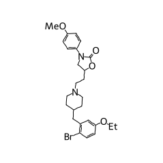 CCOc1ccc(Br)c(CC2CCN(CCC3CN(c4ccc(OC)cc4)C(=O)O3)CC2)c1